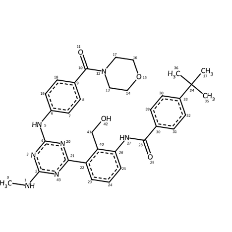 CNc1nc(Nc2ccc(C(=O)N3CCOCC3)cc2)nc(-c2cccc(NC(=O)c3ccc(C(C)(C)C)cc3)c2CO)n1